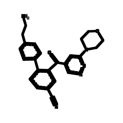 N#Cc1ccc(-c2ccc(CCN)cc2)c(C(=O)c2cnnc(N3CCOCC3)c2)c1